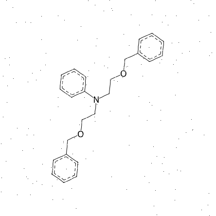 c1ccc(COCCN(CCOCc2ccccc2)c2ccccc2)cc1